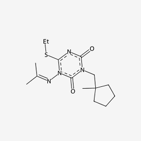 CCSc1nc(=O)n(CC2(C)CCCC2)c(=O)n1N=C(C)C